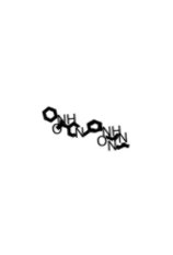 Cc1cnc(C(=O)Nc2cccc(CN3CCC(C(=O)NC4CCCCC4)CC3)c2)cn1